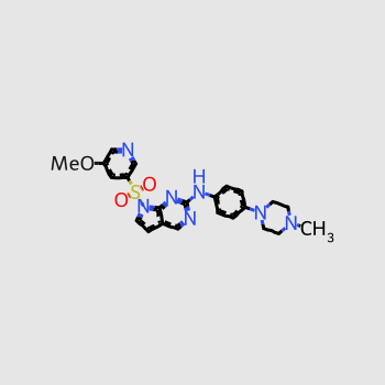 COc1cncc(S(=O)(=O)n2ccc3cnc(Nc4ccc(N5CCN(C)CC5)cc4)nc32)c1